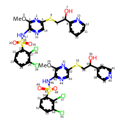 COc1nc(SCC(O)c2ccccn2)cnc1NS(=O)(=O)c1cccc(Cl)c1Cl.COc1nc(SCC(O)c2ccncc2)cnc1NS(=O)(=O)c1cccc(Cl)c1Cl